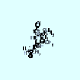 Cc1cc(C)cc(-c2[nH]c3sc(C(C)(C)C(=O)C4C5CCC4NC5)cc3c2CCNC(=NC(=O)OC(C)C)N2CCC(c3ccncc3)C2)c1